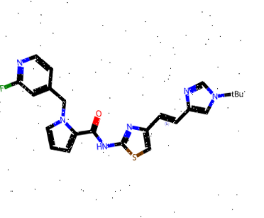 CC(C)(C)n1cnc(/C=C/c2csc(NC(=O)c3cccn3Cc3ccnc(F)c3)n2)c1